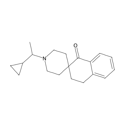 CC(C1CC1)N1CCC2(CCc3ccccc3C2=O)CC1